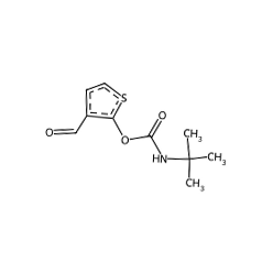 CC(C)(C)NC(=O)Oc1sccc1C=O